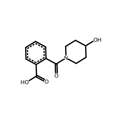 O=C(O)c1ccccc1C(=O)N1CCC(O)CC1